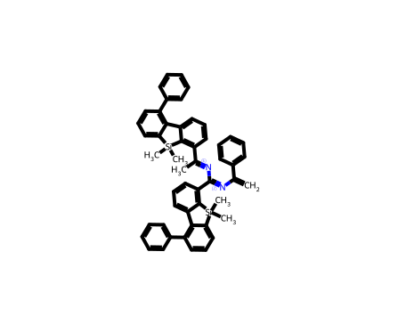 C=C(/N=C(\N=C(/C)c1cccc2c1[Si](C)(C)c1cccc(-c3ccccc3)c1-2)c1cccc2c1[Si](C)(C)c1cccc(-c3ccccc3)c1-2)c1ccccc1